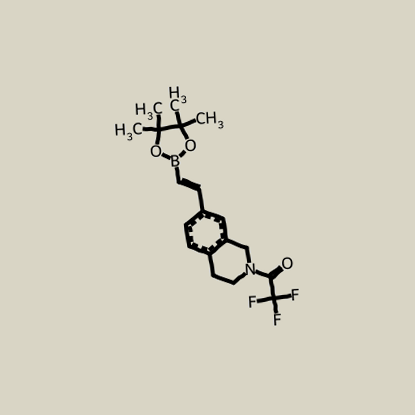 CC1(C)OB(/C=C/c2ccc3c(c2)CN(C(=O)C(F)(F)F)CC3)OC1(C)C